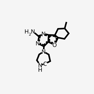 CC1CCc2oc3c(N4CCCNCC4)nc(N)nc3c2C1